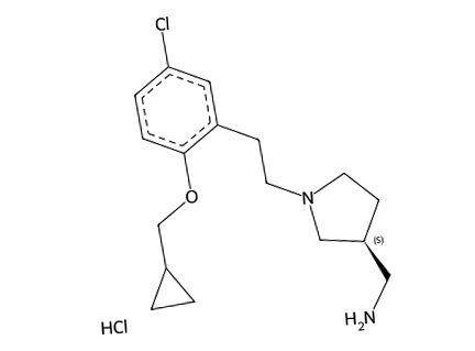 Cl.NC[C@@H]1CCN(CCc2cc(Cl)ccc2OCC2CC2)C1